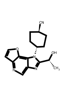 C[C@@H](O)c1nc2cnc3ccoc3c2n1[C@H]1CC[C@H](C#N)CC1